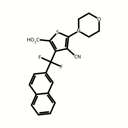 N#Cc1c(N2CCOCC2)sc(C(=O)O)c1C(F)(F)c1ccc2ccccc2c1